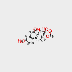 CC(=O)O[C@H]1[C@H](O)CC2C3C(CC[C@@]21C)C1=C(C[C@@H](O)CC1)C[C@@H]3O